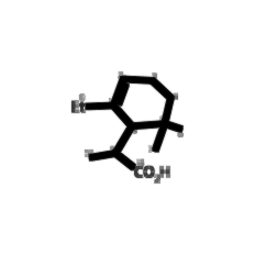 CCC1=CCCC(C)(C)C1C(C)C(=O)O